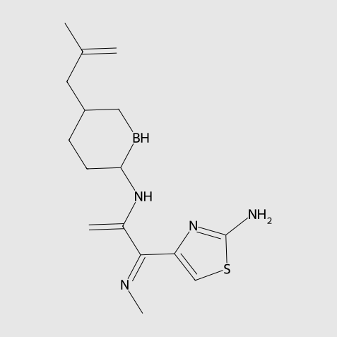 C=C(C)CC1CBC(NC(=C)/C(=N/C)c2csc(N)n2)CC1